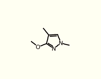 COc1nn(C)cc1C